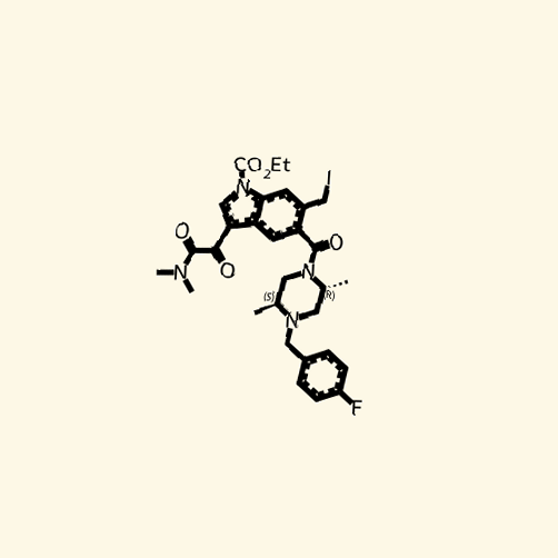 CCOC(=O)n1cc(C(=O)C(=O)N(C)C)c2cc(C(=O)N3C[C@H](C)N(Cc4ccc(F)cc4)C[C@H]3C)c(CI)cc21